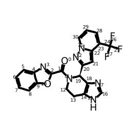 O=C(c1nc2ccccc2o1)N1CCc2[nH]cnc2[C@@H]1c1cc2c(C(F)(F)F)cccn2n1